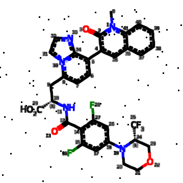 Cn1c(=O)c(-c2ccc(C[C@H](NC(=O)c3c(F)cc(N4CCOC[C@H]4C(F)(F)F)cc3F)C(=O)O)n3ccnc23)cc2ccccc21